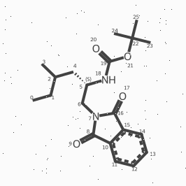 CCC(C)C[C@@H](CN1C(=O)c2ccccc2C1=O)NC(=O)OC(C)(C)C